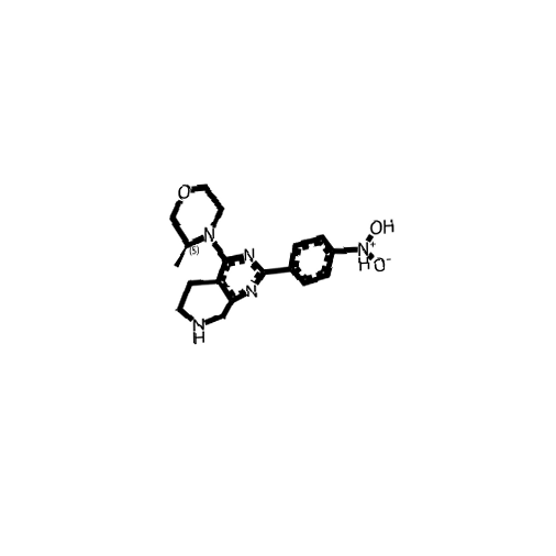 C[C@H]1COCCN1c1nc(-c2ccc([NH+]([O-])O)cc2)nc2c1CCNC2